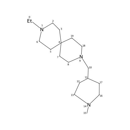 CCN1CCC2(CC1)CCN(CC1CCN(C)CC1)CC2